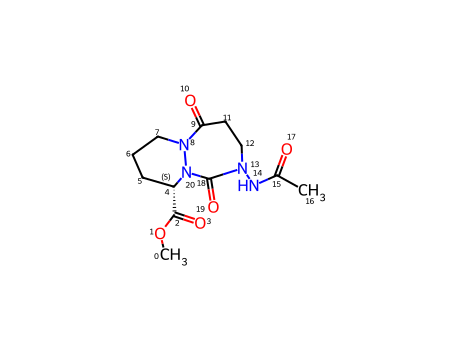 COC(=O)[C@@H]1CCCN2C(=O)CCN(NC(C)=O)C(=O)N12